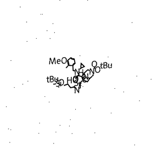 COc1cccc(CN(C(=O)C2=C(c3cnc(CCCO[Si](C)(C)C(C)(C)C)s3)CC3CN(C(=O)OC(C)(C)C)C[C@H]2N3C(=O)O)C2CC2)c1C